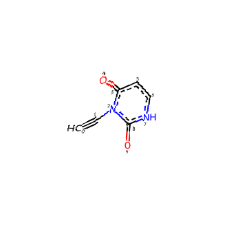 C#Cn1c(=O)cc[nH]c1=O